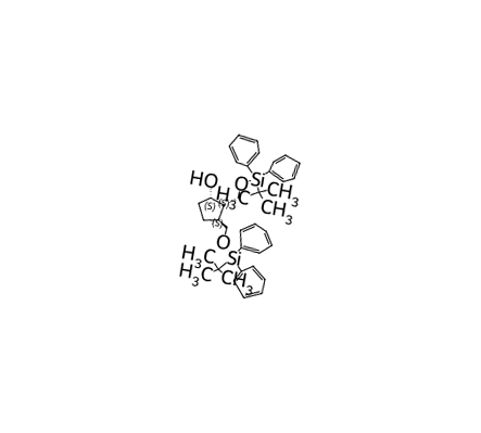 CC(C)(C)[Si](OC[C@H]1CC[C@H](O)[C@@H]1CO[Si](c1ccccc1)(c1ccccc1)C(C)(C)C)(c1ccccc1)c1ccccc1